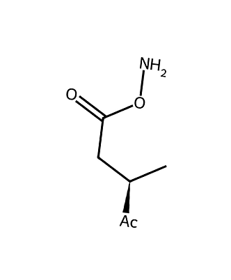 CC(=O)[C@H](C)CC(=O)ON